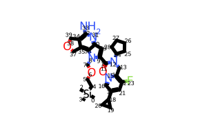 C[Si](C)(C)CCOCn1c(C(=O)N(Cc2ncc(C3CC3)cc2F)C2CCCC2)cc2nc(N)c3c(c21)COC3